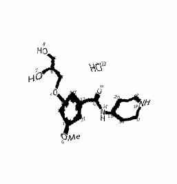 COc1cc(OCC(O)CO)cc(C(=O)NC2CCNCC2)c1.Cl